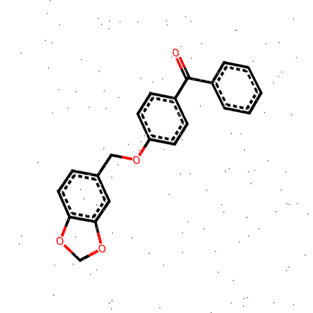 O=C(c1ccccc1)c1ccc(OCc2ccc3c(c2)OCO3)cc1